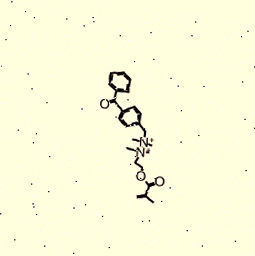 C=C(C)C(=O)OCC[N+](C)(C)[N+](C)(C)Cc1ccc(C(=O)c2ccccc2)cc1